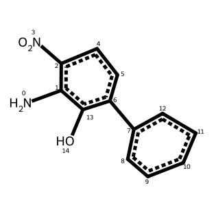 Nc1c([N+](=O)[O-])ccc(-c2ccccc2)c1O